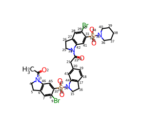 CC(=O)N1CCc2cc(Br)c(S(=O)(=O)N3CCc4ccc(CC(=O)N5CCc6cc(Br)c(S(=O)(=O)N7CCCCC7)cc65)cc43)cc21